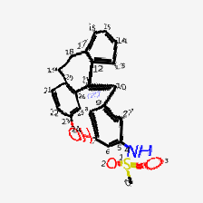 CS(=O)(=O)Nc1cccc(/C=C2/c3ccccc3CCc3ccc(O)cc32)c1